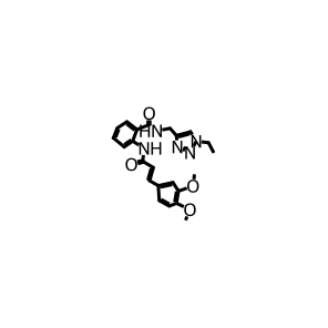 CCn1cc(CNC(=O)c2ccccc2NC(=O)/C=C/c2ccc(OC)c(OC)c2)nn1